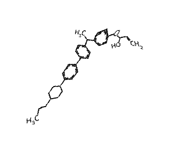 C=CC(O)Oc1ccc(C(C)c2ccc(-c3ccc(C4CCC(CCC)CC4)cc3)cc2)cc1